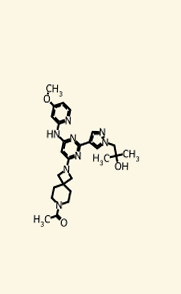 COc1ccnc(Nc2cc(N3CC4(CCN(C(C)=O)CC4)C3)nc(-c3cnn(CC(C)(C)O)c3)n2)c1